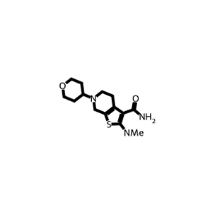 CNc1sc2c(c1C(N)=O)CCN(C1CCOCC1)C2